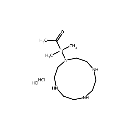 C[C](=O)[Ti]([CH3])([CH3])[N]1CCNCCNCCNCC1.Cl.Cl